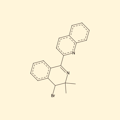 CC1(C)N=C(c2ccc3ccccc3n2)c2ccccc2C1Br